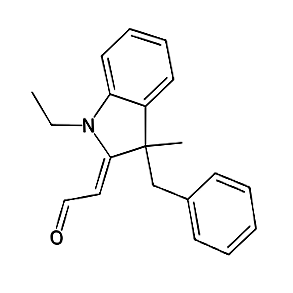 CCN1/C(=C\C=O)C(C)(Cc2ccccc2)c2ccccc21